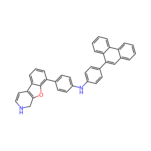 C1=Cc2c(oc3c(-c4ccc(Nc5ccc(-c6cc7ccccc7c7ccccc67)cc5)cc4)cccc23)CN1